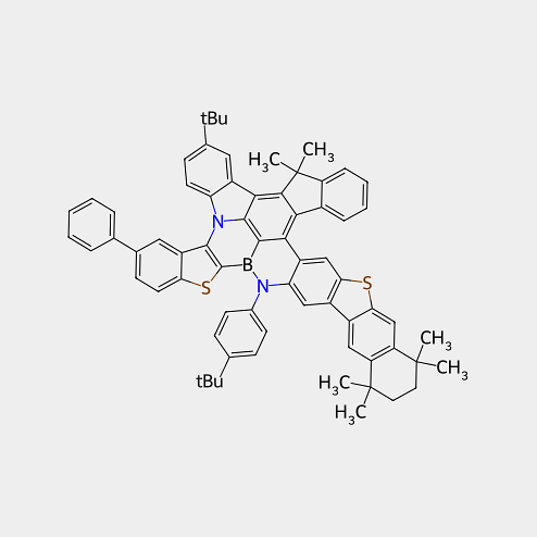 CC(C)(C)c1ccc(N2B3c4sc5ccc(-c6ccccc6)cc5c4-n4c5ccc(C(C)(C)C)cc5c5c6c(c(c3c54)-c3cc4sc5cc7c(cc5c4cc32)C(C)(C)CCC7(C)C)-c2ccccc2C6(C)C)cc1